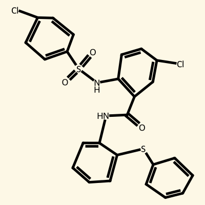 O=C(Nc1ccccc1Sc1ccccc1)c1cc(Cl)ccc1NS(=O)(=O)c1ccc(Cl)cc1